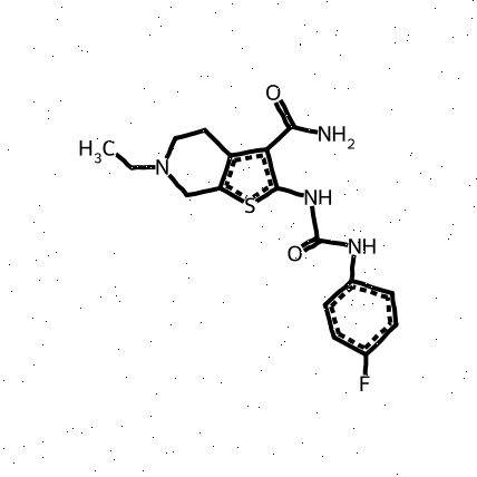 CCN1CCc2c(sc(NC(=O)Nc3ccc(F)cc3)c2C(N)=O)C1